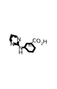 O=C(O)[C@@H]1CCCC(Nc2ncccn2)C1